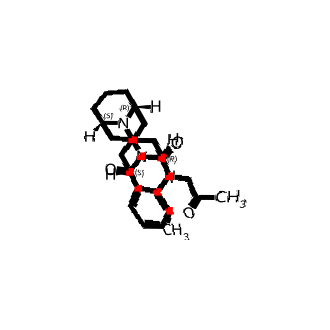 CCC1C[C@@H]2CC(N3[C@@H]4CCC[C@H]3CC(n3c(=O)c5ccccc5n(CC(C)=O)c3=O)C4)C[C@H](C1)C2